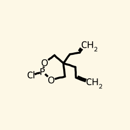 C=CCC1(CC=C)COP(Cl)OC1